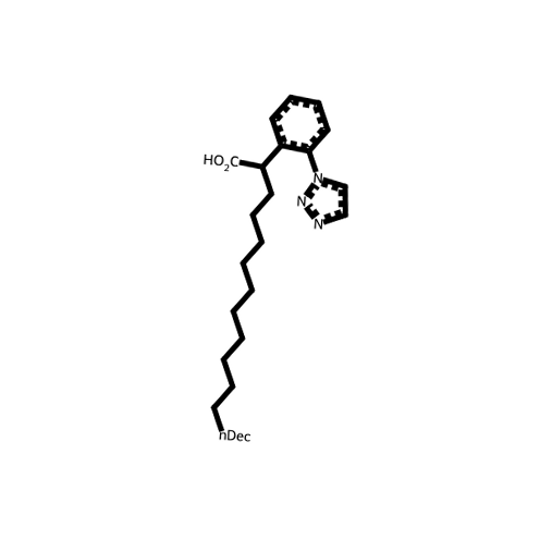 CCCCCCCCCCCCCCCCCCCCC(C(=O)O)c1ccccc1-n1ccnn1